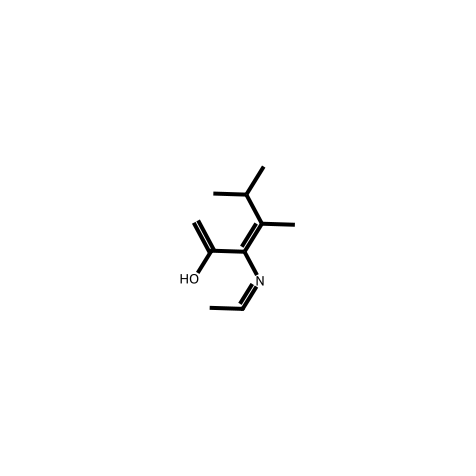 C=C(O)C(/N=C\C)=C(/C)C(C)C